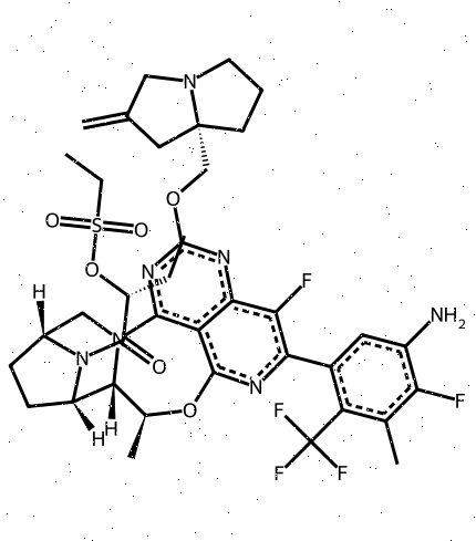 C=C1CN2CCC[C@@]2(COc2nc3c4c(nc(-c5cc(N)c(F)c(C)c5C(F)(F)F)c(F)c4n2)O[C@@H](C)[C@@H]2[C@@H]4CC[C@H](CN32)N4C(=O)[C@@H](CC)OS(=O)(=O)CC)C1